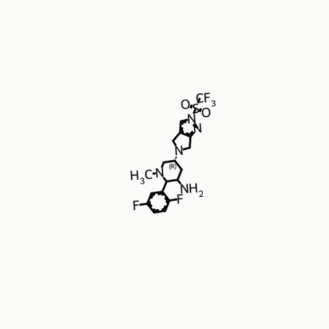 CN1C[C@H](N2Cc3cn(S(=O)(=O)C(F)(F)F)nc3C2)CC(N)C1c1cc(F)ccc1F